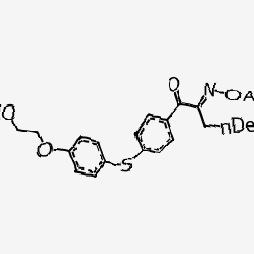 CCCCCCCCCCC/C(=N\OC(C)=O)C(=O)c1ccc(Sc2ccc(OCCO)cc2)cc1